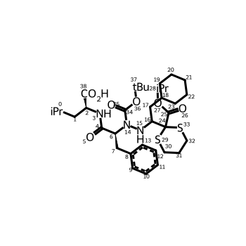 CC(C)C[C@H](NC(=O)[C@H](Cc1ccccc1)N(NC(CC1CCCCC1)C1(C(=O)OC(C)C)SCCCS1)C(=O)OC(C)(C)C)C(=O)O